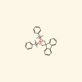 C[Si](C)(OCC1(CO[Si](C)(C)c2ccccc2)c2ccccc2-c2ccccc21)c1ccccc1